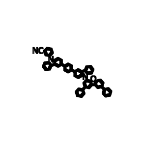 N#Cc1cccc(-n2c3ccccc3c3cc(-c4ccc(-c5ccc6c(c5)c5ccccc5n6-c5cc(-c6ccccc6)cc6c5oc5ccc(-c7ccccc7)cc56)cc4)ccc32)c1